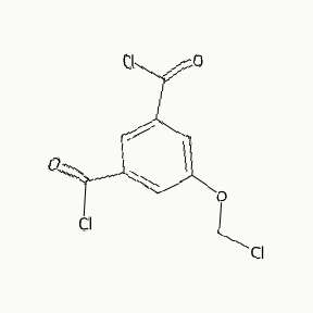 O=C(Cl)c1cc(OCCl)cc(C(=O)Cl)c1